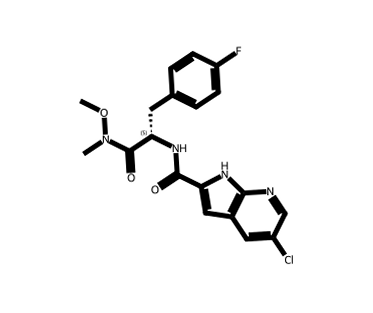 CON(C)C(=O)[C@H](Cc1ccc(F)cc1)NC(=O)c1cc2cc(Cl)cnc2[nH]1